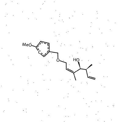 C=C[C@H](C)[C@H](O)C(C)=CCOCc1ccc(OC)cc1